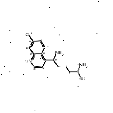 CCC(N)CCCC(N)c1ccnc2cc(Cl)ccc12